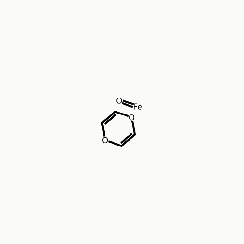 C1=COC=CO1.[O]=[Fe]